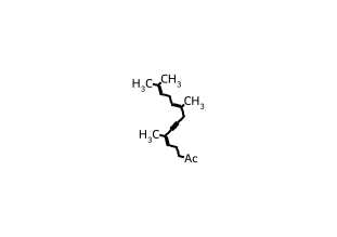 CC(=O)CCC=C(C)C#CCC(C)=CCC=C(C)C